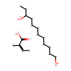 CC=C(C)C(=O)O.CCC(O)CCCCCCCCCO